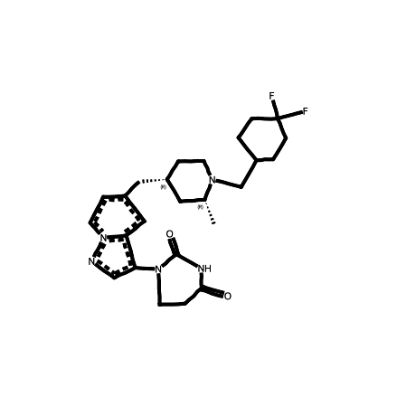 C[C@@H]1C[C@H](Cc2ccn3ncc(N4CCC(=O)NC4=O)c3c2)CCN1CC1CCC(F)(F)CC1